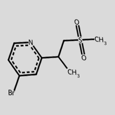 CC(CS(C)(=O)=O)c1cc(Br)ccn1